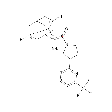 NC(=O)C12CC3C[C@H](C1)C(OC(=O)N1CCC(c4nccc(C(F)(F)F)n4)C1)[C@@H](C3)C2